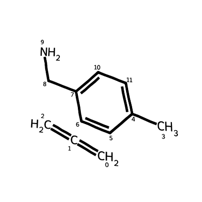 C=C=C.Cc1ccc(CN)cc1